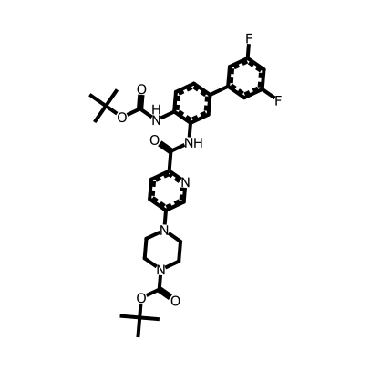 CC(C)(C)OC(=O)Nc1ccc(-c2cc(F)cc(F)c2)cc1NC(=O)c1ccc(N2CCN(C(=O)OC(C)(C)C)CC2)cn1